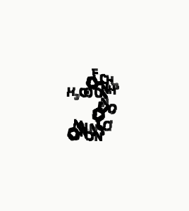 COc1ccc(F)c([C@@H](C)NC(=O)CN2Cc3ccc(-c4nc(On5nnc6ccccc65)ncc4Cl)cc3C2=O)c1